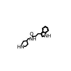 O=C(CCc1c[nH]c2ccccc12)NCC1CCNCC1